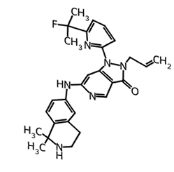 C=CCn1c(=O)c2cnc(Nc3ccc4c(c3)CCNC4(C)C)cc2n1-c1cccc(C(C)(C)F)n1